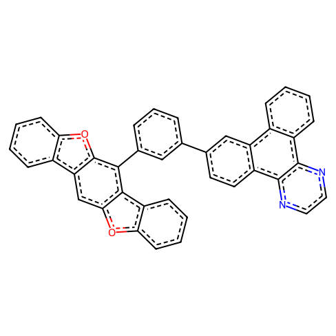 c1cc(-c2ccc3c(c2)c2ccccc2c2nccnc32)cc(-c2c3oc4ccccc4c3cc3oc4ccccc4c23)c1